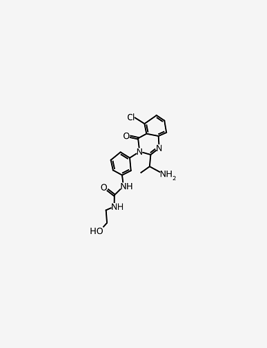 CC(N)c1nc2cccc(Cl)c2c(=O)n1-c1cccc(NC(=O)NCCO)c1